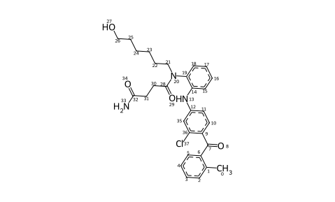 Cc1ccccc1C(=O)c1ccc(Nc2ccccc2N(CCCCCCO)C(=O)CCC(N)=O)cc1Cl